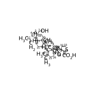 C=C(C)[C@@H]1CC[C@]2(CO)CC[C@]3(C)[C@H](CCC[C@@]3(C)CCC3C(C)(C)CCN(S(=O)(=O)c4ccsc4C(=O)O)C3(C)C)[C@@H]12